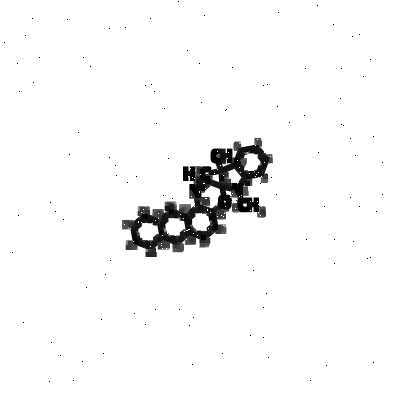 CN1c2ccccc2C(C)(C)C12C=Nc1c(ccc3cc4ccccc4cc13)O2